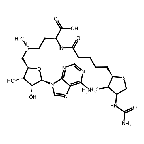 CC1C(NC(N)=O)CS[C@@H]1CCCCC(=O)N[C@@H](CC[SH](C)C[C@H]1O[C@@H](n2cnc3c(N)ncnc32)[C@H](O)[C@@H]1O)C(=O)O